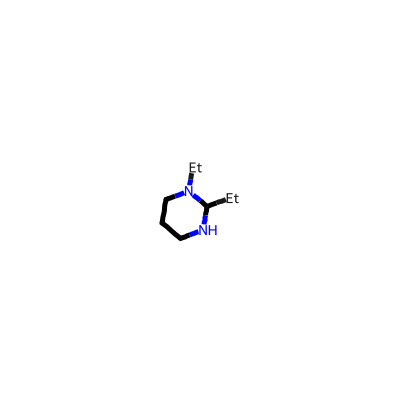 CCC1NCCCN1CC